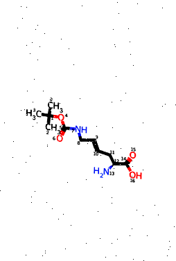 CC(C)(C)OC(=O)NCC=CC[C@H](N)C(=O)O